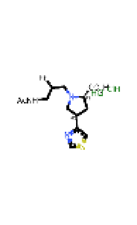 CCC(CNC(C)=O)CN1C[C@H](c2cscn2)C[C@@H]1C(=O)O.Cl.Cl